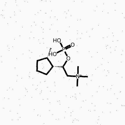 C[C@H]1CCC[C@H]1C(C[N+](C)(C)C)OP(=O)(O)O